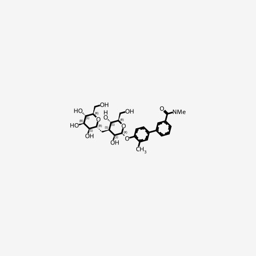 CNC(=O)c1cccc(-c2ccc(O[C@H]3O[C@H](CO)[C@@H](O)[C@H](C[C@H]4O[C@H](CO)[C@@H](O)[C@H](O)[C@@H]4O)[C@@H]3O)c(C)c2)c1